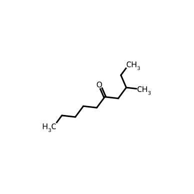 CCCCCC(=O)CC(C)CC